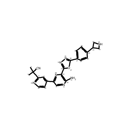 CC(C)(C#N)c1cc(-c2cnc(N)c(-c3nnc(-c4ccc(C5CNC5)cc4)o3)n2)ccn1